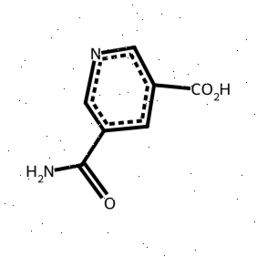 NC(=O)c1cncc(C(=O)O)c1